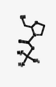 CC(C)(C)OC(=O)N1CCOC1CO